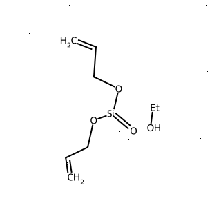 C=CCO[Si](=O)OCC=C.CCO